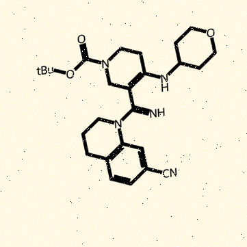 CC(C)(C)OC(=O)N1CCC(NC2CCOCC2)=C(C(=N)N2CCCc3ccc(C#N)cc32)C1